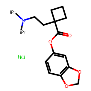 CC(C)N(CCC1(C(=O)Oc2ccc3c(c2)OCO3)CCC1)C(C)C.Cl